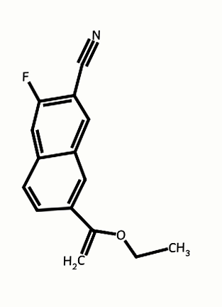 C=C(OCC)c1ccc2cc(F)c(C#N)cc2c1